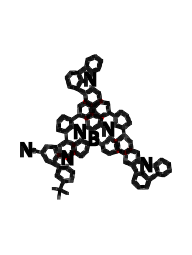 CC(C)(C)c1ccc2c(c1)c1cc(C#N)ccc1n2-c1ccc2c(c1)N(c1c(-c3ccccc3)cccc1-c1ccccc1)c1cc(-c3ccc4c(c3)c3cccc5c6ccccc6n4c53)cc3c1B2c1ccc(-c2ccc4c(c2)c2cccc5c6ccccc6n4c52)cc1N3c1c(-c2ccccc2)cccc1-c1ccccc1